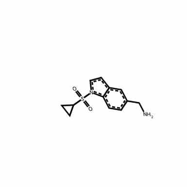 NCc1ccc2c(ccn2S(=O)(=O)C2CC2)c1